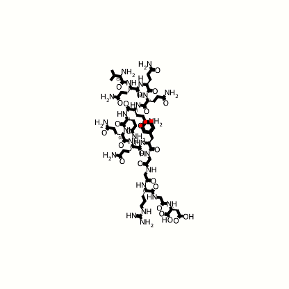 CC(C)[C@H](N)C(=O)N[C@@H](CCC(N)=O)C(=O)N[C@@H](CCC(N)=O)C(=O)N[C@@H](CCC(N)=O)C(=O)N[C@@H](CCC(N)=O)C(=O)N[C@@H](CCC(N)=O)C(=O)N[C@@H](CCC(N)=O)C(=O)N[C@@H](CCC(N)=O)C(=O)N[C@@H](Cc1ccccc1)C(=O)NCC(=O)NCC(=O)N[C@@H](CCCNC(=N)N)C(=O)NCC(=O)N[C@@H](CC(=O)O)C(=O)O